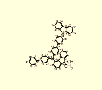 CC1(C)c2ccccc2-c2c(N(c3ccc(-c4ccccc4)cc3)c3ccc(-c4ccc(-n5c6ccccc6c6ccccc65)cc4)cc3)cccc21